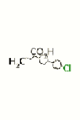 C=CCC(C(=O)O)C1CCC(c2ccc(Cl)cc2)CC1